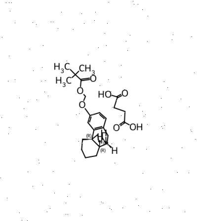 CC(C)(C)C(=O)OCOc1ccc2c(c1)[C@@]13CCCC[C@H]1[C@@H](C2)NCC3.O=C(O)CCC(=O)O